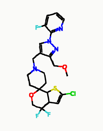 COCc1nn(-c2ncccc2F)cc1CN1CCC2(CC1)OCC(F)(F)C1C=C(Cl)SC12